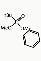 CCCCP(=O)(OC)OC.c1ccccc1